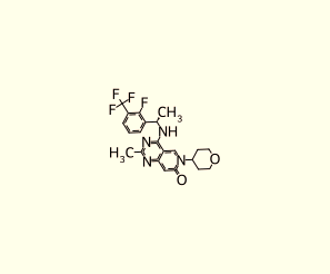 Cc1nc(N[C@H](C)c2cccc(C(F)(F)F)c2F)c2cn(C3CCOCC3)c(=O)cc2n1